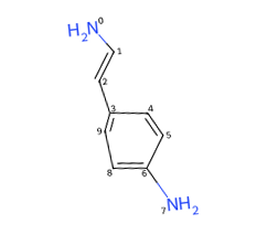 N/C=C/c1ccc(N)cc1